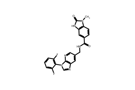 Cn1c(=O)[nH]c2cc(C(=O)NCc3cnc4c(c3)ncn4-c3c(F)cccc3F)ccc21